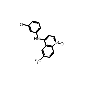 [O-][n+]1ccc(Nc2cccc(Cl)c2)c2cc(C(F)(F)F)ccc21